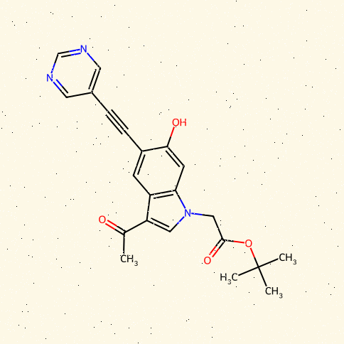 CC(=O)c1cn(CC(=O)OC(C)(C)C)c2cc(O)c(C#Cc3cncnc3)cc12